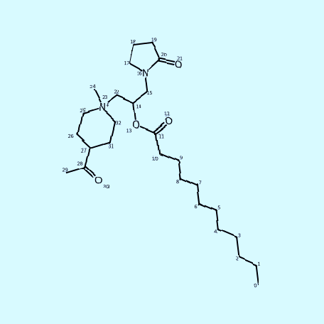 CCCCCCCCCCCC(=O)OC(CN1CCCC1=O)C[N+]1(C)CCC(C(C)=O)CC1